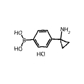 Cl.NC1(c2ccc(B(O)O)cc2)CC1